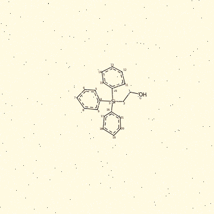 OCC[Si](c1ccccc1)(c1ccccc1)c1ccccc1